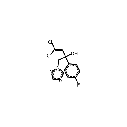 OC(C=C(Cl)Cl)(Cn1cncn1)c1ccc(F)cc1